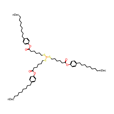 CCCCCCCCCCCCCCCCCCc1ccc(OC(=O)CCCCCSP(SCCCCCC(=O)Oc2ccc(CCCCCCCCCCCCCCCCCC)cc2)SCCCCCC(=O)Oc2ccc(CCCCCCCCCCCCCCCCCC)cc2)cc1